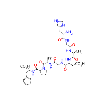 CC(C)[C@H](NC(=O)CNC(=O)[C@H](CC(=O)O)NC(=O)[C@H](C)NC(=O)CNC(=O)[C@@H](N)Cc1c[nH]cn1)C(=O)N1CCC[C@H]1C(=O)N[C@@H](Cc1ccccc1)C(=O)O